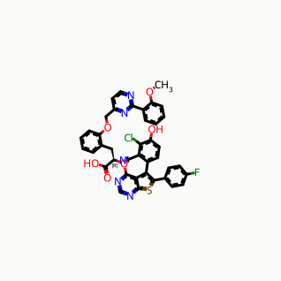 COc1ccccc1-c1nccc(COc2ccccc2C[C@@H](Oc2ncnc3sc(-c4ccc(F)cc4)c(-c4ccc(O)c(Cl)c4C#N)c23)C(=O)O)n1